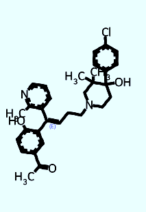 CC(=O)c1ccc(O)c(/C(=C/CCN2CCC(O)(c3ccc(Cl)cc3)C(C)(C)C2)c2cccnc2C)c1